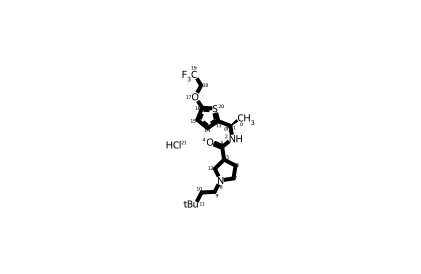 C[C@@H](NC(=O)C1CCN(CCC(C)(C)C)C1)c1ccc(OCC(F)(F)F)s1.Cl